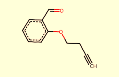 C#CCCOc1ccccc1C=O